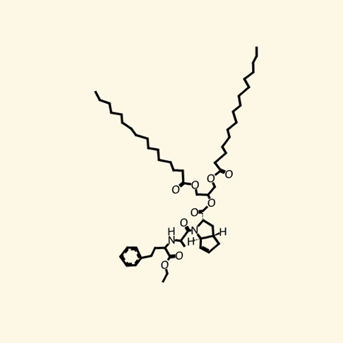 CCCCCCCCCCCCCCCC(=O)OCC(COC(=O)CCCCCCCCCCCCCCC)OC(=O)[C@@H]1C[C@@H]2CC=C[C@H]2N1C(=O)C(C)NC(CCc1ccccc1)C(=O)OCC